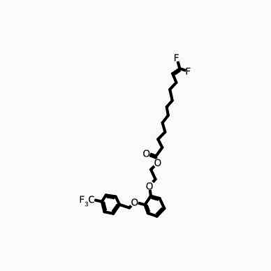 O=C(CCCCCCCCCC=C(F)F)OCCOc1ccccc1OCc1ccc(C(F)(F)F)cc1